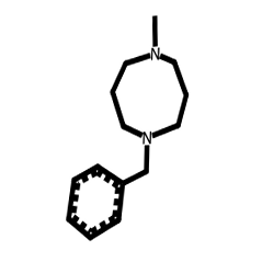 CN1CCCN(Cc2ccccc2)CCC1